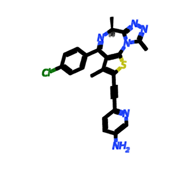 Cc1c(C#Cc2ccc(N)cn2)sc2c1C(c1ccc(Cl)cc1)=N[C@@H](C)c1nnc(C)n1-2